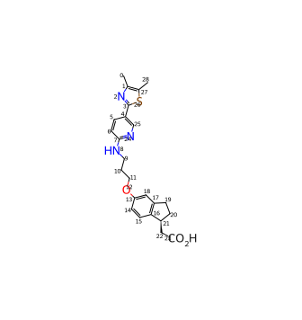 Cc1nc(-c2ccc(NCCCOc3ccc4c(c3)CC[C@H]4CC(=O)O)nc2)sc1C